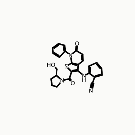 N#Cc1ccccc1Nc1c(C(=O)N2CCC[C@H]2CO)sc2c1ccc(=O)n2-c1ccccc1